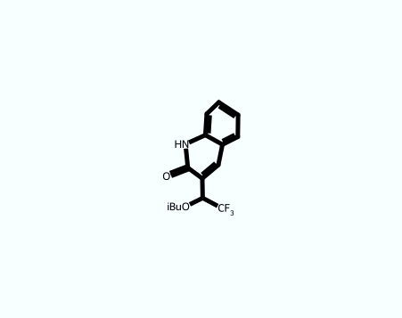 CC(C)COC(c1cc2ccccc2[nH]c1=O)C(F)(F)F